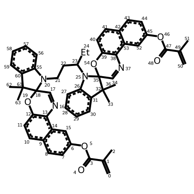 C=C(C)C(=O)Oc1ccc2ccc3c(c2c1)N=CC1(O3)N(CCC(CC)N2c3ccccc3C(C)(C)C23C=Nc2c(ccc4ccc(OC(=O)C(=C)C)cc24)O3)c2ccccc2C1(C)C